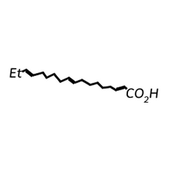 CC/C=C/CCCC/C=C/CCCCC/C=C/C(=O)O